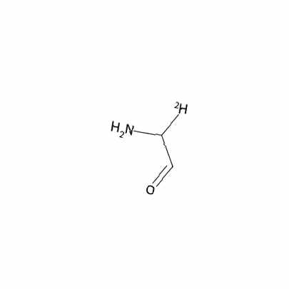 [2H]C(N)C=O